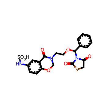 O=C1c2cc(NS(=O)(=O)O)ccc2OCN1CCOC(c1ccccc1)N1C(=O)CSC1=O